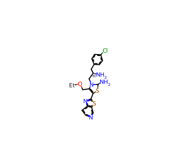 CCOCC1=C(c2nc3ccncc3s2)SC(N)N1C[C@H](N)Cc1ccc(Cl)cc1